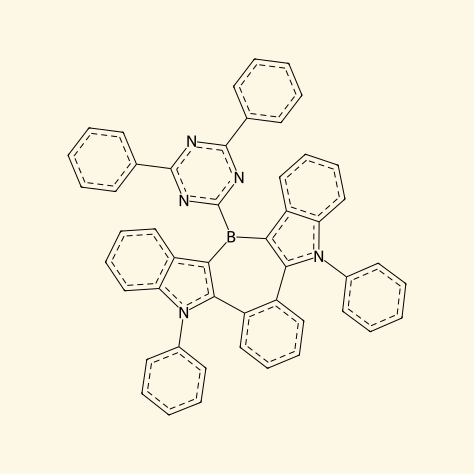 c1ccc(-c2nc(B3c4c(n(-c5ccccc5)c5ccccc45)-c4ccccc4-c4c3c3ccccc3n4-c3ccccc3)nc(-c3ccccc3)n2)cc1